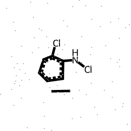 CC.ClNc1ccccc1Cl